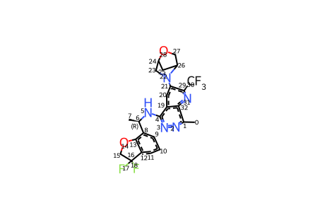 Cc1nnc(N[C@H](C)c2cccc3c2OCC3(F)F)c2cc(N3CC4CC3CO4)c(C(F)(F)F)nc12